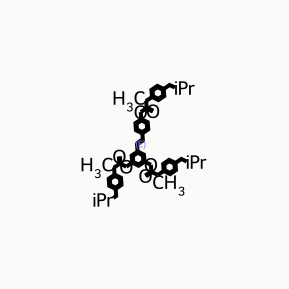 CC(C)Cc1ccc(C(C)C(=O)Oc2ccc(/C=C/c3cc(OC(=O)C(C)c4ccc(CC(C)C)cc4)cc(OC(=O)C(C)c4ccc(CC(C)C)cc4)c3)cc2)cc1